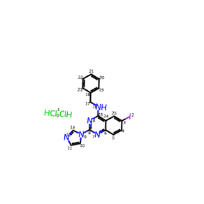 Cl.Cl.Ic1ccc2nc(-n3ccnc3)nc(NCc3ccccc3)c2c1